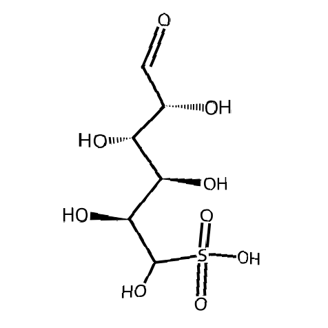 O=C[C@H](O)[C@@H](O)[C@@H](O)[C@H](O)C(O)S(=O)(=O)O